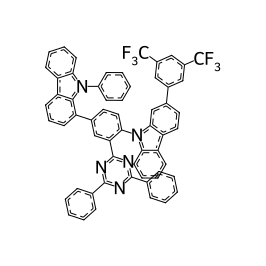 FC(F)(F)c1cc(-c2ccc3c4ccccc4n(-c4ccc(-c5cccc6c7ccccc7n(-c7ccccc7)c56)cc4-c4nc(-c5ccccc5)nc(-c5ccccc5)n4)c3c2)cc(C(F)(F)F)c1